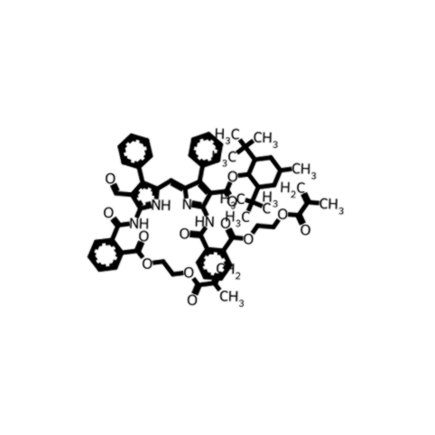 C=C(C)C(=O)OCCOC(=O)c1ccccc1C(=O)NC1=N/C(=C\c2[nH]c(NC(=O)c3ccccc3C(=O)OCCOC(=O)C(=C)C)c(C=O)c2-c2ccccc2)C(c2ccccc2)=C1C(=O)OC1C(C(C)(C)C)CC(C)CC1C(C)(C)C